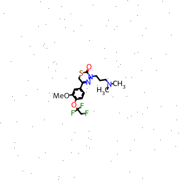 COc1cc(C2=NN(CCCN(C)C)C(=O)SC2)ccc1OC(F)(F)CF